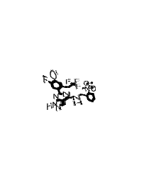 COc1cc(CC(F)(F)F)c(-c2nc(NCc3ccccc3N(C)S(C)(=O)=O)c3cn[nH]c3n2)cc1F